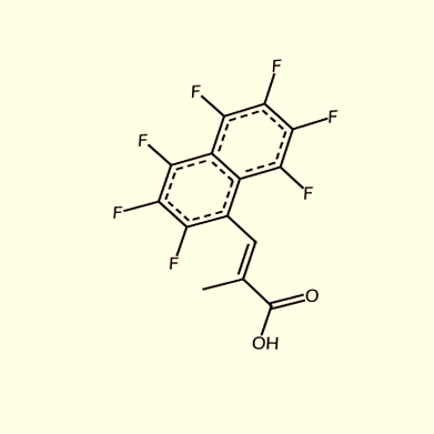 CC(=Cc1c(F)c(F)c(F)c2c(F)c(F)c(F)c(F)c12)C(=O)O